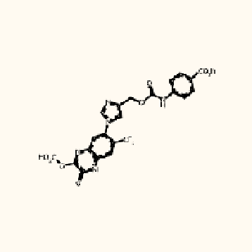 O=C(O)Oc1nc2cc(-n3cnc(COC(=O)Nc4ccc(C(=O)O)cc4)c3)c(C(F)(F)F)cc2[nH]c1=O